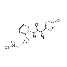 O=C(Nc1ccc(Cl)cc1)Nc1ccccc1C1CC1CNCl